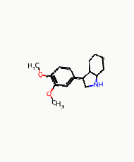 COc1ccc(C2CNC3CCCCC32)cc1OC